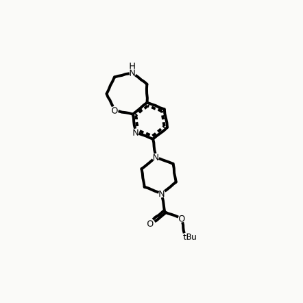 CC(C)(C)OC(=O)N1CCN(c2ccc3c(n2)OCCNC3)CC1